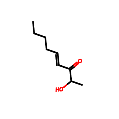 CCCC/C=C/C(=O)C(C)O